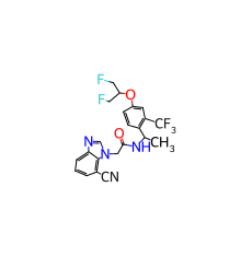 CC(NC(=O)Cn1cnc2cccc(C#N)c21)c1ccc(OC(CF)CF)cc1C(F)(F)F